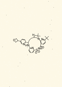 CC(C)(C)c1ccc2c(n1)N1C[C@@H](CCC(c3ccc(C4COC4)cn3)Nc3cccc(n3)S(=O)(=O)NC2=O)CC1(C)C